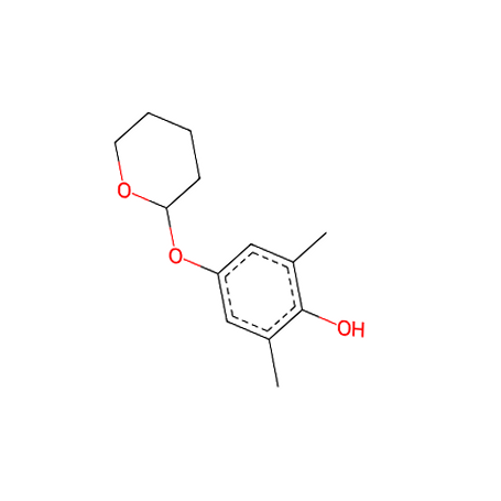 Cc1cc(OC2CCCCO2)cc(C)c1O